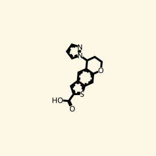 O=C(O)c1cc2cc3c(cc2s1)OCCC3n1cccn1